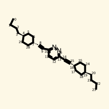 CCCC[C@H]1CC[C@H](C#Cc2ccc(C#C[C@H]3CC[C@H](CCCC)CC3)nn2)CC1